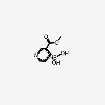 COC(=O)c1cccnc1.OBO